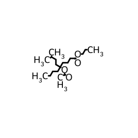 CCCCC(CCCC(=O)OCCC)(CCC(C)C)OC(C)=O